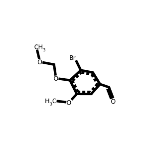 COCOc1c(Br)cc(C=O)cc1OC